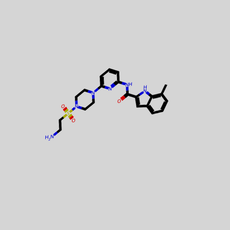 Cc1cccc2cc(C(=O)Nc3cccc(N4CCN(S(=O)(=O)CCN)CC4)n3)[nH]c12